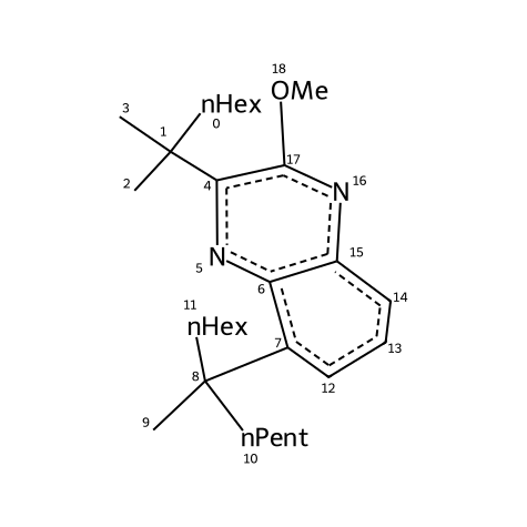 CCCCCCC(C)(C)c1nc2c(C(C)(CCCCC)CCCCCC)cccc2nc1OC